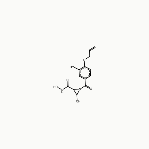 C=CCOc1ccc(C(=O)N2C(O)C2C(=O)NO)cc1C(C)C